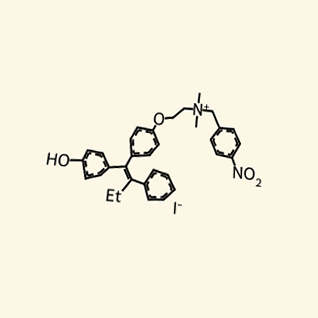 CC/C(=C(\c1ccc(O)cc1)c1ccc(OCC[N+](C)(C)Cc2ccc([N+](=O)[O-])cc2)cc1)c1ccccc1.[I-]